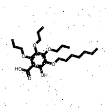 CCCCCCCOc1c(O)c(C(=O)O)c(OCCC)c(OCCC)c1OCCC